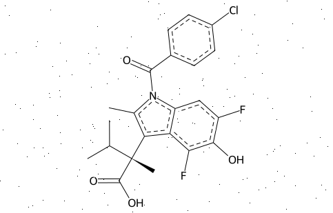 Cc1c([C@](C)(C(=O)O)C(C)C)c2c(F)c(O)c(F)cc2n1C(=O)c1ccc(Cl)cc1